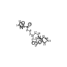 CS(=O)(=O)C1CC(CCCC(=O)c2ncco2)CCN1c1ccccc1